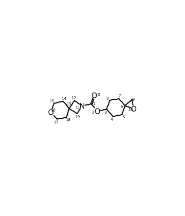 O=C(OC1CCC2(CC1)CO2)N1CC2(CCOCC2)C1